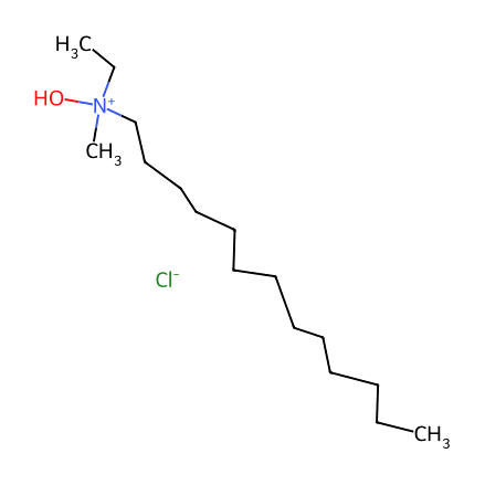 CCCCCCCCCCCCC[N+](C)(O)CC.[Cl-]